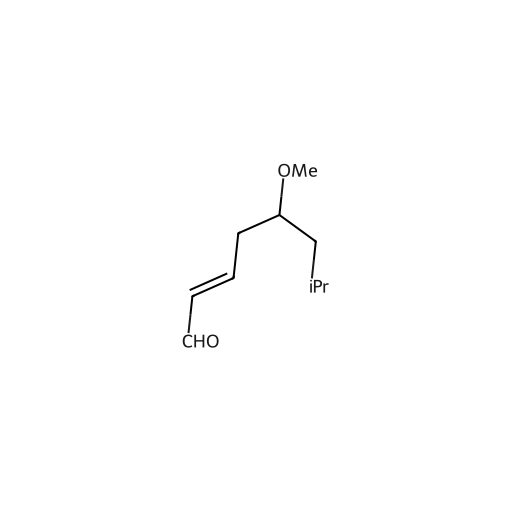 COC(CC=CC=O)CC(C)C